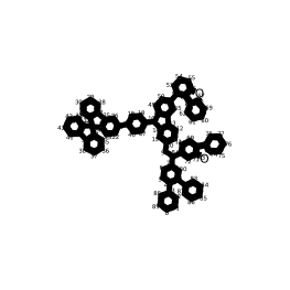 c1ccc(-c2ccc(C(Cc3ccc4c(c3)C(c3ccc(-c5ccc6c(c5)-c5ccccc5C65c6ccccc6-c6ccccc65)cc3)c3ccc(-c5cccc6oc7ccccc7c56)cc3-4)c3ccc4c(c3)oc3ccccc34)cc2-c2ccccc2)cc1